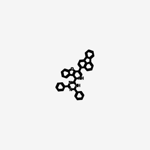 C1=C(c2ccc3c4c(cccc24)-c2ccccc2-3)c2oc3ccccc3c2C(C2=NC(c3ccccc3)=NC(c3ccccc3)N2)N1